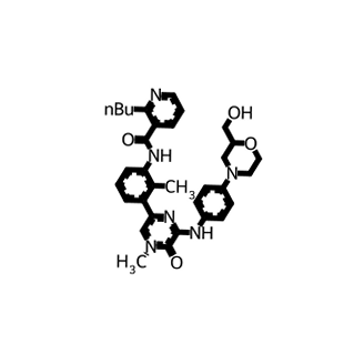 CCCCc1ncccc1C(=O)Nc1cccc(-c2cn(C)c(=O)c(Nc3ccc(N4CCOC(CO)C4)cc3)n2)c1C